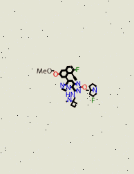 C#Cc1c(F)ccc2cc(OCOC)cc(-c3cc4nc(OC[C@@]56CCCN5C[C@H](F)C6)nc(NCC5(N(C)C)CCC5)c4n4ccnc34)c12